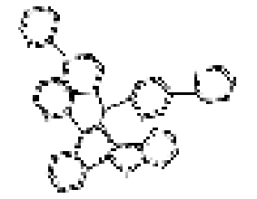 c1ccc(-c2ccc(N(c3ccc(-c4ccccc4)cc3)c3c(-c4ccccc4)c4ccccc4c4oc5ccccc5c34)cc2)cc1